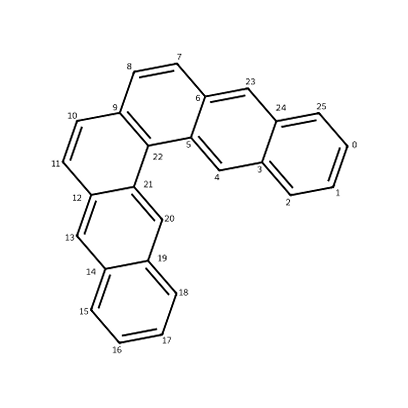 c1ccc2cc3c(ccc4ccc5cc6ccccc6cc5c43)cc2c1